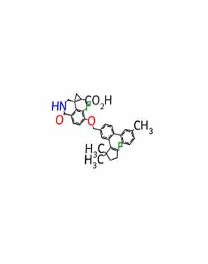 Cc1ccc(F)c(-c2ccc(COc3ccc4c(c3F)[C@]3(CNC4=O)C[C@H]3C(=O)O)cc2C2=CCCC2(C)C)c1